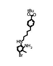 Cc1c(Br)ccc(NCCCCCc2ccc(C(=O)OC(C)(C)C)cc2)c1N